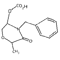 CC1OCC(OC(=O)O)N(Cc2ccccc2)C1=O